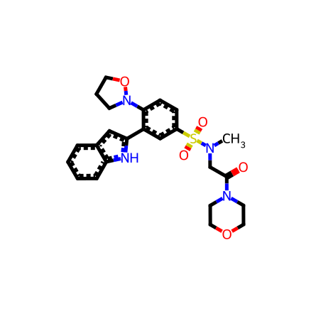 CN(CC(=O)N1CCOCC1)S(=O)(=O)c1ccc(N2CCCO2)c(-c2cc3ccccc3[nH]2)c1